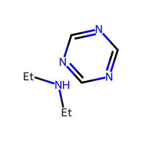 CCNCC.c1ncncn1